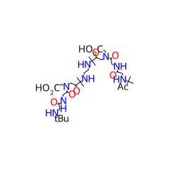 CC(=O)C(C)(C)NCC(=O)NCC(=O)N(CC(=O)O)CC(=O)C(C)(C)NCCNC(C)(C)C(=O)CN(CC(=O)O)C(=O)CNC(=O)CNC(C)(C)C